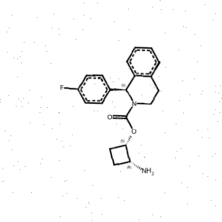 N[C@@H]1CC[C@@H]1OC(=O)N1CCc2ccccc2[C@@H]1c1ccc(F)cc1